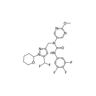 COc1ncc(N(Cc2cc(C(F)F)n(C3CCCCO3)n2)C(=O)Nc2cc(F)c(F)c(F)c2)cn1